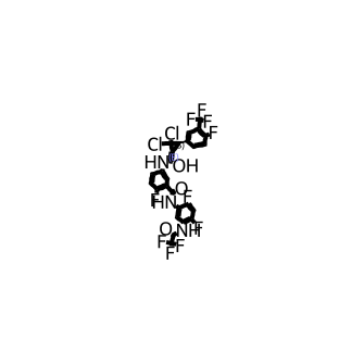 O=C(Nc1cc(NC(=O)C(F)(F)F)c(F)cc1F)c1cc(N/C(O)=C2/[C@H](c3ccc(F)c(C(F)(F)F)c3)C2(Cl)Cl)ccc1F